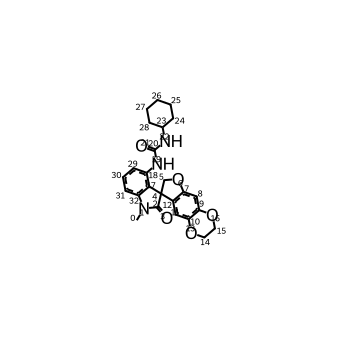 CN1C(=O)C2(COc3cc4c(cc32)OCCO4)c2c(NC(=O)NC3CCCCC3)cccc21